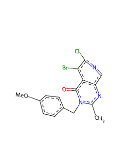 COc1ccc(Cn2c(C)nc3cnc(Cl)c(Br)c3c2=O)cc1